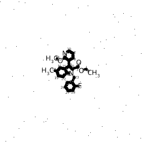 CCOC(=O)c1c(-c2cccnc2OC)c2cc(C)ccc2n1Cc1ccccc1F